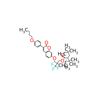 CCCCOc1ccc(-c2cc3ccc(OCC(C)(COC(=O)C(CC(C)(C)C)C(C)(C)C)C(F)(F)F)cc3oc2=O)cc1